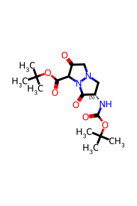 CC(C)(C)OC(=O)N[C@H]1CN2CC(=O)C(C(=O)OC(C)(C)C)N2C1=O